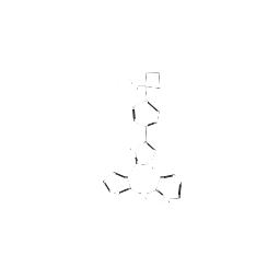 O=C(O)NC1(c2ccc(-c3cn4c(n3)-c3ccccc3Nc3ncccc3-4)cc2)CCC1